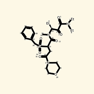 CC[C@@H](C(=O)C(=O)N(CC)CC)N(C)C(=O)C(CC(=O)N1CCOCC1)S(=O)(=O)Cc1ccccc1